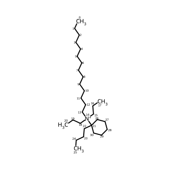 CCCCCCCCCCCCCC[N+](CCC)(CCC)C1(CCCC)CCCCC1